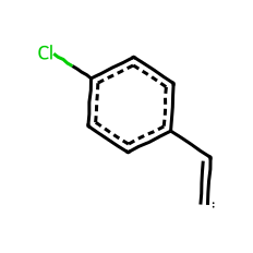 [C]=Cc1ccc(Cl)cc1